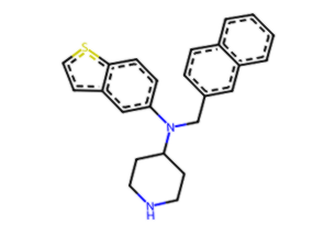 c1ccc2cc(CN(c3ccc4sccc4c3)C3CCNCC3)ccc2c1